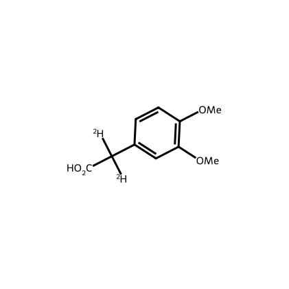 [2H]C([2H])(C(=O)O)c1ccc(OC)c(OC)c1